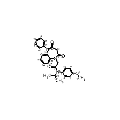 COc1ccc(N(C(=O)CN2C(=O)CC(=O)N(c3cccnc3)c3ccccc32)C(C)C)cc1